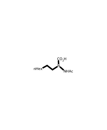 CCCCCCCCN(NC(C)=O)C(=O)O